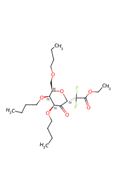 CCCCOC[C@H]1O[C@H](C(F)(F)C(=O)OCC)C(=O)[C@@H](OCCCC)[C@H]1OCCCC